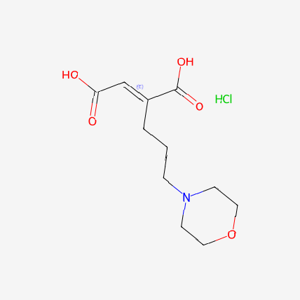 Cl.O=C(O)/C=C(\CCCN1CCOCC1)C(=O)O